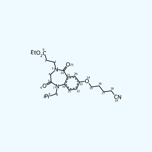 CCOC(=O)CCN1CC(=O)N(CC(C)C)c2ccc(OCCCCC#N)cc2C1=O